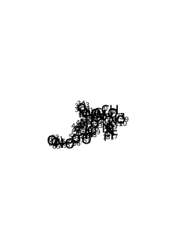 Cc1c(C(=O)N(c2ccccc2)c2cnn(C(F)F)c2)cc(-c2cc3c(cc2C(=O)N2Cc4ccccc4C[C@H]2CN2CC4(CCC4)C2)CN(C(=O)Cc2ccc(OCCN4CCOCC4)cc2)CC3)n1C